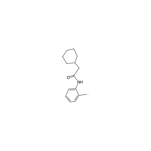 [CH2]c1ccccc1NC(=O)CC1CCCCC1